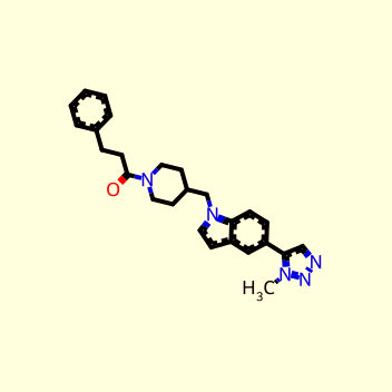 Cn1nncc1-c1ccc2c(ccn2CC2CCN(C(=O)CCc3ccccc3)CC2)c1